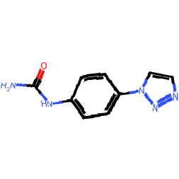 NC(=O)Nc1ccc(-n2ccnn2)cc1